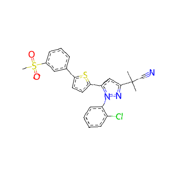 CC(C)(C#N)c1cc(-c2ccc(-c3cccc(S(C)(=O)=O)c3)s2)n(-c2ccccc2Cl)n1